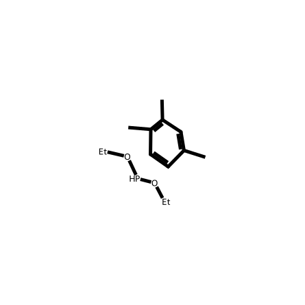 CCOPOCC.Cc1ccc(C)c(C)c1